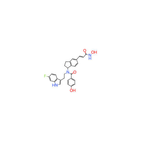 O=C(C=Cc1ccc2c(c1)CCC2N(CCc1c[nH]c2cc(F)ccc12)C(=O)c1ccc(O)cc1)NO